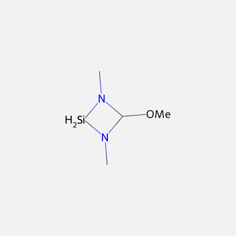 COC1N(C)[SiH2]N1C